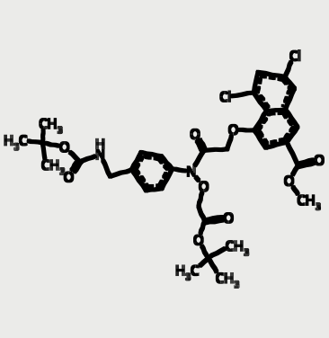 COC(=O)c1cc(OCC(=O)N(OCC(=O)OC(C)(C)C)c2ccc(CNC(=O)OC(C)(C)C)cc2)c2c(Cl)cc(Cl)cc2c1